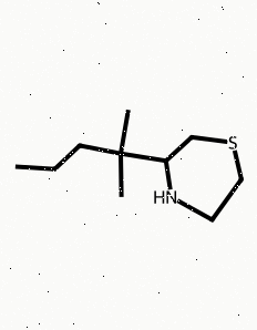 CCCC(C)(C)C1CSCCN1